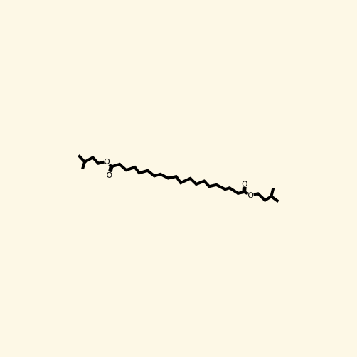 CC(C)CCOC(=O)CCCCCCCCCCCCCCCCCCC(=O)OCCC(C)C